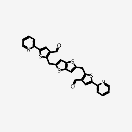 O=Cc1cc(-c2ccccn2)sc1Cc1cc2sc(Cc3sc(-c4ccccn4)cc3C=O)cc2s1